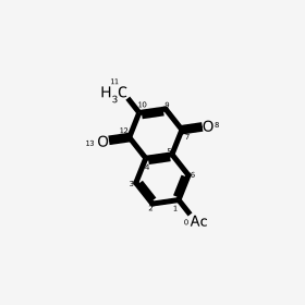 CC(=O)c1ccc2c(c1)C(=O)C=C(C)C2=O